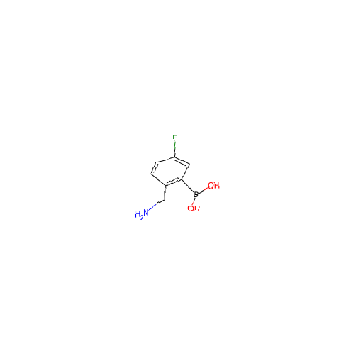 NCc1ccc(F)cc1B(O)O